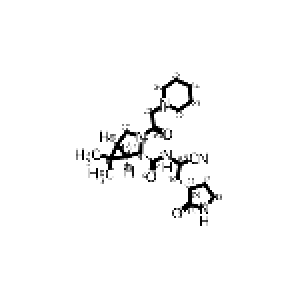 CC1(C)[C@@H]2[C@@H](C(=O)NC(C#N)C[C@@H]3CCNC3=O)N(C(=O)CN3CCCCC3)C[C@@H]21